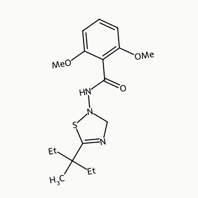 CCC(C)(CC)C1=NCN(NC(=O)c2c(OC)cccc2OC)S1